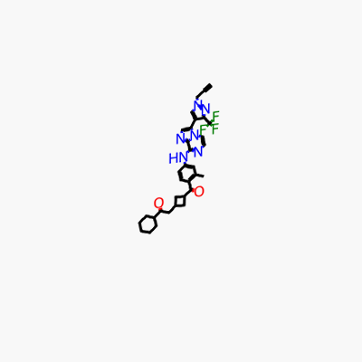 C#CCn1cc(-c2cnc3c(Nc4ccc(C(=O)C5CC(CC(=O)C6CCCCC6)C5)c(C)c4)nccn23)c(C(F)(F)F)n1